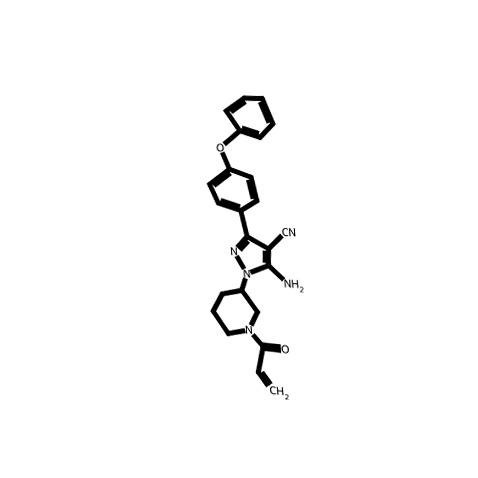 C=CC(=O)N1CCCC(n2nc(-c3ccc(Oc4ccccc4)cc3)c(C#N)c2N)C1